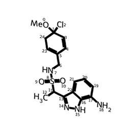 COC1(Cl)C=CC(CNS(=O)(=O)C(C)c2n[nH]c3c(N)cccc23)=CC1